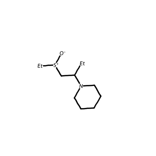 CCC(C[S+]([O-])CC)N1CCCCC1